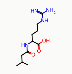 CC(C)CC(=O)NC(CCCNC(=N)N)C(=O)O